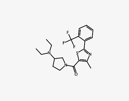 CCN(CC)C1CCN(C(=O)c2sc(-c3ccccc3C(F)(F)F)nc2C)C1